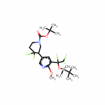 COc1ncc(C2CN(C(=O)OC(C)(C)C)CCC2(F)F)cc1C(F)(O[Si](C)(C)C(C)(C)C)C(F)F